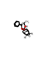 CCOC(=O)N1C2CC(O)(OC(=O)c3ccccc3)CC1[C@@H]1O[C@H]21